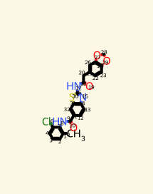 Cc1cccc(Cl)c1NC(=O)c1ccc2nc(NC(=O)Cc3ccc4c(c3)OCO4)sc2c1